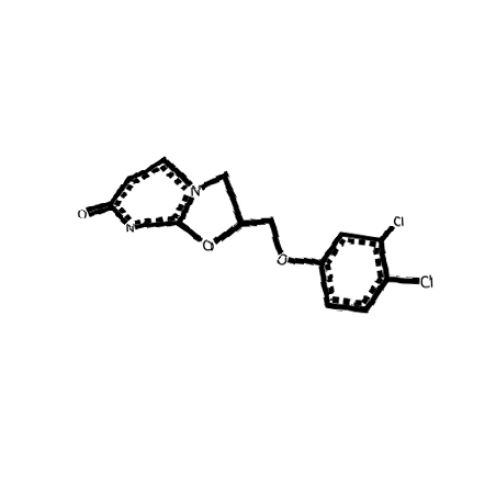 O=c1ccn2c(n1)OC(COc1ccc(Cl)c(Cl)c1)C2